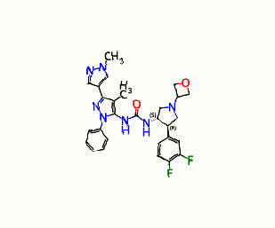 Cc1c(-c2cnn(C)c2)nn(-c2ccccc2)c1NC(=O)N[C@@H]1CN(C2COC2)C[C@H]1c1ccc(F)c(F)c1